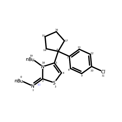 CCCC/N=c1/scc(C2(c3ccc(Cl)cc3)CCCC2)n1CCCC